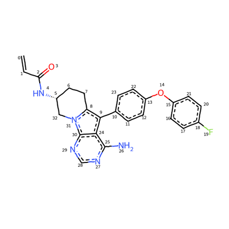 C=CC(=O)N[C@@H]1CCc2c(-c3ccc(Oc4ccc(F)cc4)cc3)c3c(N)ncnc3n2C1